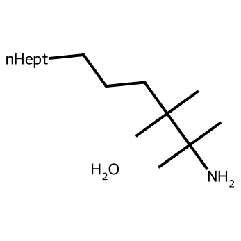 CCCCCCCCCCC(C)(C)C(C)(C)N.O